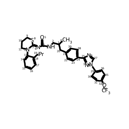 CC(CNC(=O)/N=C1\SCCCN1c1ccccc1C(C)C)Cc1ccc(-c2ncn(-c3ccc(OC(F)(F)F)cc3)n2)cc1